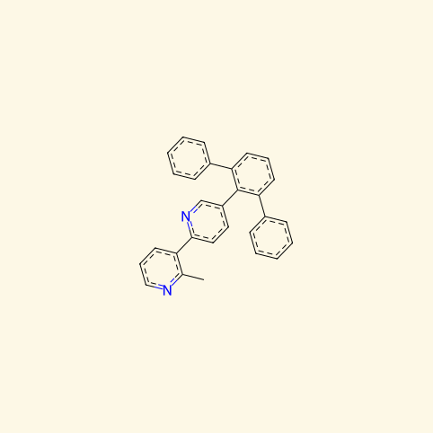 Cc1ncccc1-c1ccc(-c2c(-c3ccccc3)cccc2-c2ccccc2)cn1